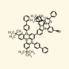 CC(C)(C)c1ccc2c(c1)N(c1ccc(-c3ccccc3)cc1)c1cc(-c3ccc4c(c3)c3cc(C(C)(C)C)ccc3n4-c3ccc(C#N)cc3-c3nc(-c4ccccc4)nc(-c4ccccc4)n3)cc3c1B2c1ccc(C(C)(C)C)cc1N3c1ccc(-c2ccccc2)cc1